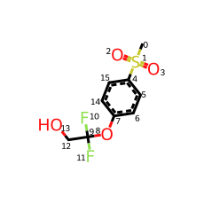 CS(=O)(=O)c1ccc(OC(F)(F)CO)cc1